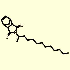 CCCCCCCCCCCC(C)N1C(=O)C2C3C=CC(C3)C2C1=O